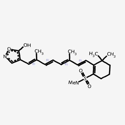 CNS(=O)(=O)C1=C(/C=C/C(C)=C/C=C/C(C)=C/c2cnoc2O)C(C)(C)CCC1